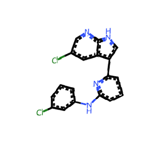 Clc1cccc(Nc2cccc(-c3c[nH]c4ncc(Cl)cc34)n2)c1